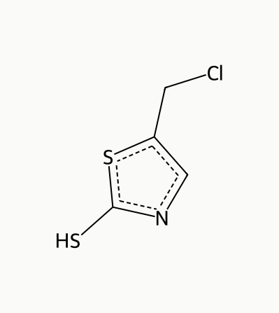 Sc1ncc(CCl)s1